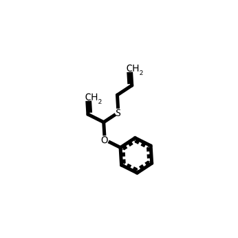 C=CCSC(C=C)Oc1ccccc1